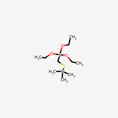 CCO[Si](CS[Si](C)(C)C)(OCC)OCC